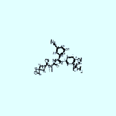 Cn1cnc2ccc(-c3sc(NC(=O)N4CC5(COC5)C4)nc3-c3cccc(C#N)c3)cc21